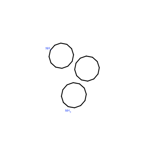 C1CCCCCCCCCCC1.C1CCCCCCCCCCC1.C1CCCCCCCCCCC1.N.N